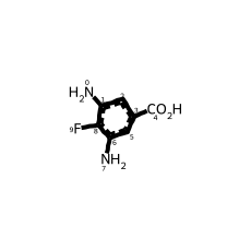 Nc1cc(C(=O)O)cc(N)c1F